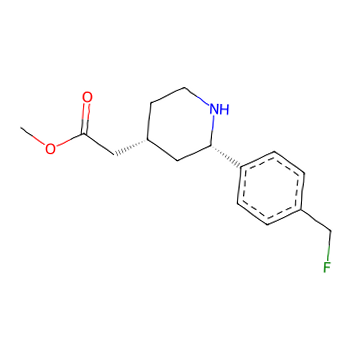 COC(=O)C[C@@H]1CCN[C@H](c2ccc(CF)cc2)C1